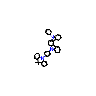 CC1(C)c2ccccc2N(c2ccc(-n3c4ccccc4c4c5c6ccccc6n(-c6ccccc6)c5ccc43)cc2)c2ccccc21